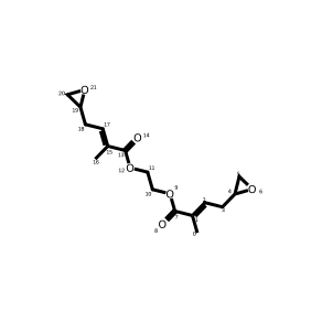 C/C(=C\CC1CO1)C(=O)OCCOC(=O)/C(C)=C/CC1CO1